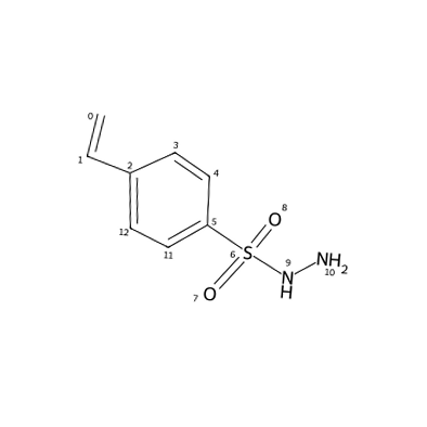 C=Cc1ccc(S(=O)(=O)NN)cc1